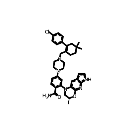 C[C@H]1CN(c2cc(N3CCN(CC4=C(c5ccc(Cl)cc5)CC(C)(C)CC4)CC3)ccc2C(N)=O)c2cc3cc[nH]c3nc2O1